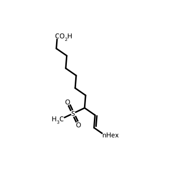 CCCCCCC=CC(CCCCCCC(=O)O)S(C)(=O)=O